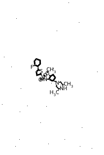 COc1ccc(N2C[C@@H](C)N[C@@H](C)C2)cc1NS(=O)(=O)c1ccc(-c2ccccc2F)s1